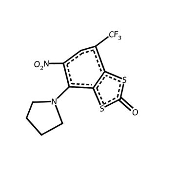 O=c1sc2c(C(F)(F)F)cc([N+](=O)[O-])c(N3CCCC3)c2s1